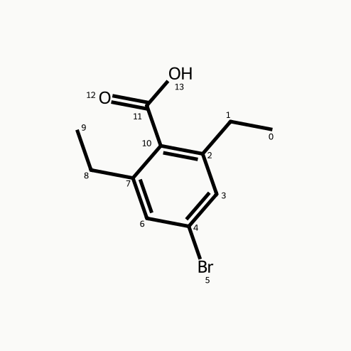 CCc1cc(Br)cc(CC)c1C(=O)O